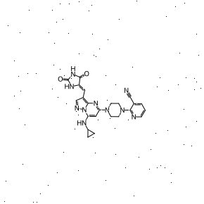 N#Cc1cccnc1N1CCN(c2cc(NC3CC3)n3ncc(C=C4NC(=O)NC4=O)c3n2)CC1